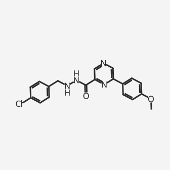 COc1ccc(-c2cncc(C(=O)NNCc3ccc(Cl)cc3)n2)cc1